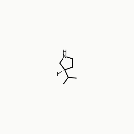 CC(C)[C@]1(I)CCNC1